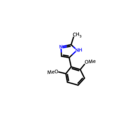 COc1cccc(OC)c1-c1cnc(C)[nH]1